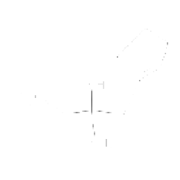 CC(C)(CC(=O)O)CC1=CCCC1